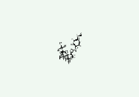 C=Cc1ccc(COC(=O)C(OC(=O)C(C)(C)C)(C(F)(F)F)C(F)(F)F)cc1